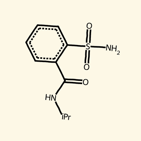 CC(C)NC(=O)c1ccccc1S(N)(=O)=O